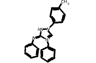 Cc1ccc(-n2c[n+](-c3ccccc3)/c(=N\c3ccccc3)[nH]2)cc1